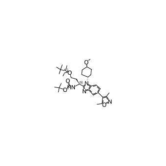 CO[C@H]1CC[C@H](n2c([C@H](CCO[Si](C)(C)C(C)(C)C)NC(=O)OC(C)(C)C)nc3cc(-c4c(C)noc4C)ccc32)CC1